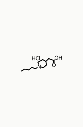 CCCCCN1CCC(CC(=O)O)CC1.Cl